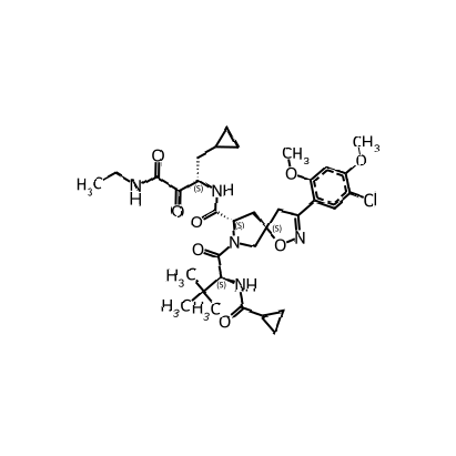 CCNC(=O)C(=O)[C@H](CC1CC1)NC(=O)[C@@H]1C[C@]2(CC(c3cc(Cl)c(OC)cc3OC)=NO2)CN1C(=O)[C@@H](NC(=O)C1CC1)C(C)(C)C